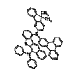 CC1(C)c2ccccc2-c2cc(N(c3ccc4c5ccccc5c5ccccc5c4c3)c3cccc4sc5c(N(c6ccccc6)c6ccccc6)c6ccccc6cc5c34)ccc21